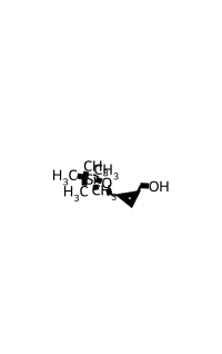 CC(C)(C)[Si](C)(C)OC[C@H]1C[C@@H]1CO